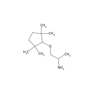 CC(COC1C(C)(C)CCC1(C)C)[N+](=O)[O-]